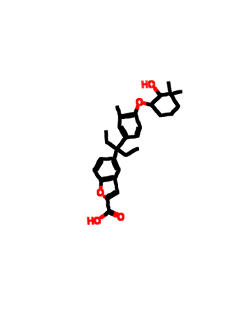 CCC(CC)(c1ccc(OC2CCCC(C)(C)C2O)c(C)c1)c1ccc2oc(C(=O)O)cc2c1